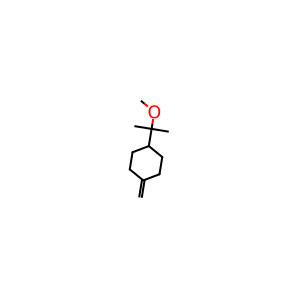 C=C1CCC(C(C)(C)OC)CC1